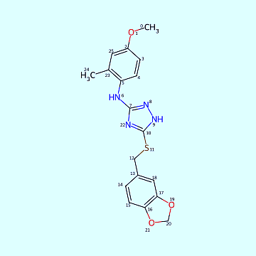 COc1ccc(Nc2n[nH]c(SCc3ccc4c(c3)OCO4)n2)c(C)c1